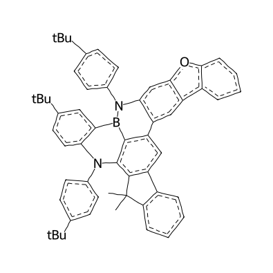 CC(C)(C)c1ccc(N2B3c4cc(C(C)(C)C)ccc4N(c4ccc(C(C)(C)C)cc4)c4c3c(cc3c4C(C)(C)c4ccccc4-3)-c3cc4c(cc32)oc2ccccc24)cc1